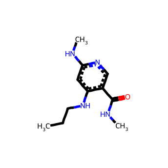 CCCNc1cc(NC)ncc1C(=O)NC